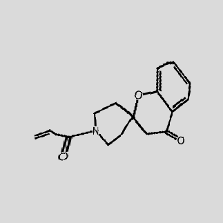 C=CC(=O)N1CCC2(CC1)CC(=O)c1ccccc1O2